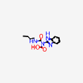 CCCCNC(=O)N(C(=O)O)c1nc2ccccc2[nH]1